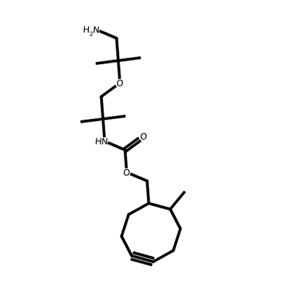 CC1CCC#CCCC1COC(=O)NC(C)(C)COC(C)(C)CN